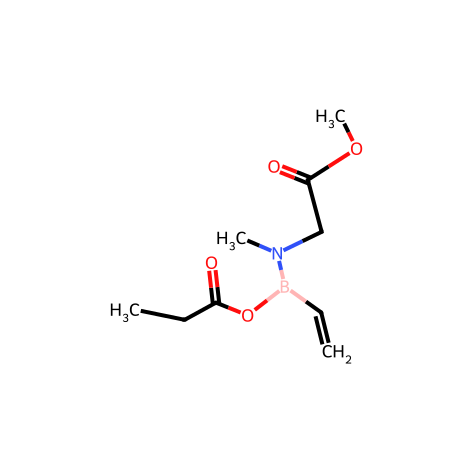 C=CB(OC(=O)CC)N(C)CC(=O)OC